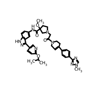 COC1(C(=O)Nc2ccc3[nH]nc(-c4ccc(OC(C)C)nc4)c3c2)CCN(CC(=O)N2CC=C(c3ccc(-c4ncn(C)n4)cc3)CC2)C1